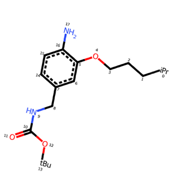 CC(C)CCCOc1cc(CNC(=O)OC(C)(C)C)ccc1N